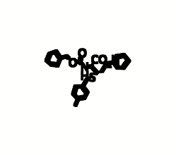 Cc1ccc(CS[C@@H](CCc2ccccc2)[C@H](NC(=O)OCc2ccccc2)C(=O)O)cc1